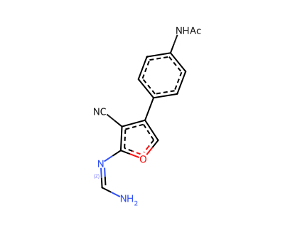 CC(=O)Nc1ccc(-c2coc(/N=C\N)c2C#N)cc1